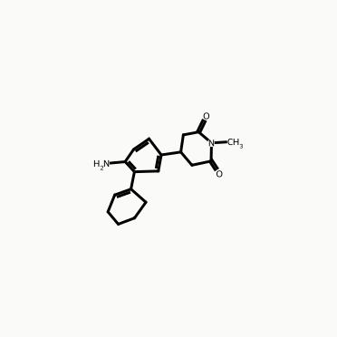 CN1C(=O)CC(c2ccc(N)c(C3=CCCCC3)c2)CC1=O